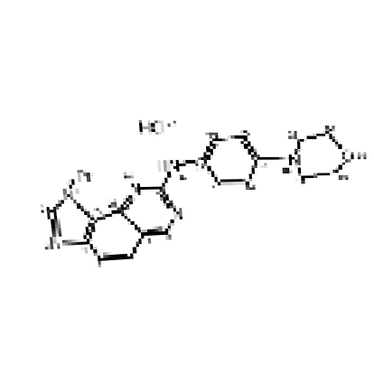 CC(C)n1nnc2ccc3cnc(Nc4ccc(N5CCOCC5)cc4)nc3c21.Cl